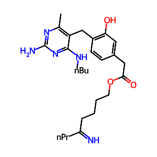 CCCCNc1nc(N)nc(C)c1Cc1ccc(CC(=O)OCCCCC(=N)CCC)cc1O